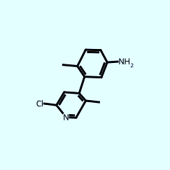 Cc1ccc(N)cc1-c1cc(Cl)ncc1C